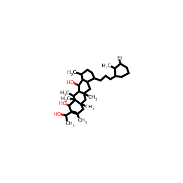 CCC1CCCC(CCCC2CCC(C)C3C(O)C4C(C)C5(C)C(O)C(C(C)O)=C(C)CC5(C)CC4(C)CC23)C1C